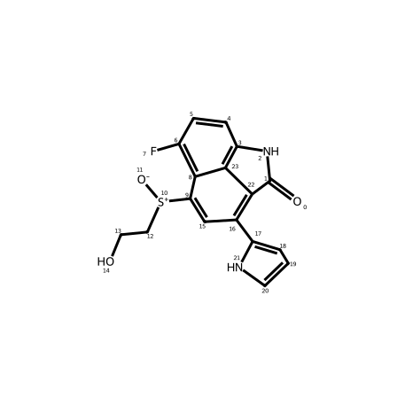 O=C1Nc2ccc(F)c3c([S+]([O-])CCO)cc(-c4ccc[nH]4)c1c23